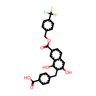 O=C(O)c1ccc(Cc2c(O)cc3ccc(C(=O)OCc4ccc(C(F)(F)F)cc4)cc3c2O)cc1